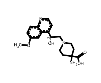 COc1ccc2nccc([C@@H](O)CN3CCC(N)(C(=O)O)CC3)c2c1